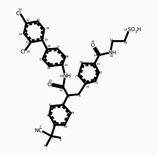 CC(C)(C#N)c1ccc(C(Cc2ccc(C(=O)NCCS(=O)(=O)O)cc2)C(=O)Nc2ccc(-c3ccc(Cl)cc3Cl)cc2)cc1